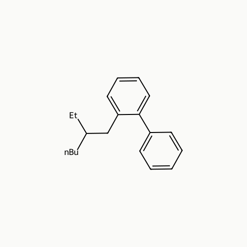 CCCCC(CC)Cc1ccccc1-c1ccccc1